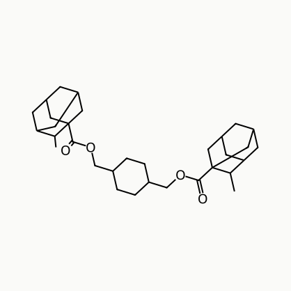 CC1C2CC3CC(C2)CC1(C(=O)OCC1CCC(COC(=O)C24CC5CC(CC(C5)C2C)C4)CC1)C3